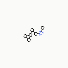 c1ccc(-c2ncnc(-c3cccc(-c4ccccc4-c4ccc5c6ccccc6c6ccccc6c5c4)c3)n2)cc1